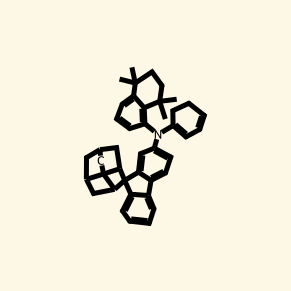 CC1(C)CCC(C)(C)c2c(N(C3=CC=CCC3)c3ccc4c(c3)C3(c5ccccc5-4)C4CC5CC6CC3C64C5)cccc21